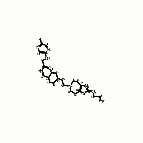 Cc1cnc(OCC(=O)/N=C\C2CCC(CCN3CCc4nc(OCCC(F)(F)F)sc4CC3)CC2)cn1